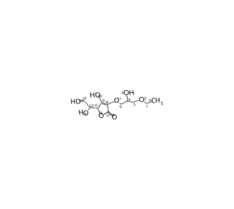 CCOCC(O)COC1=C(O)C(C(O)CO)OC1=O